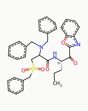 CCC[C@H](NC(=O)C(CS(=O)(=O)Cc1ccccc1)N(Cc1ccccc1)Cc1ccccc1)C(=O)c1nc2ccccc2o1